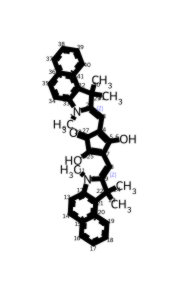 CN1/C(=C\C2=C(O)C(/C=C3\N(C)c4ccc5ccccc5c4C3(C)C)=C(O)C2=O)C(C)(C)c2c1ccc1ccccc21